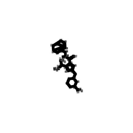 CC(C)n1nc(CN2CCCC(N)C2)cc1C(=O)NCC12CC3CC(CC(C3)C1)C2